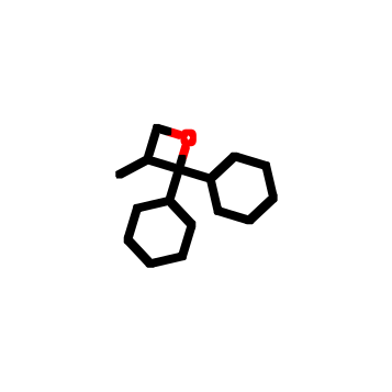 CC1COC1(C1CCCCC1)C1CCCCC1